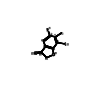 Cc1c(F)cc2c(c1I)OCC2=O